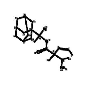 C/C=C\C(C)(C(=O)OC(C)(CC)C12CC3CC(CC(C3)C1)C2)C(C)N